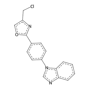 ClCc1coc(-c2ccc(-n3cnc4ccccc43)cc2)n1